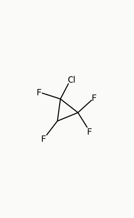 FC1C(F)(F)C1(F)Cl